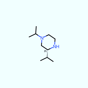 CC(C)[C@@H]1CN(C(C)C)CCN1